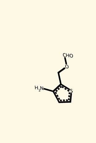 Nc1ccsc1COC=O